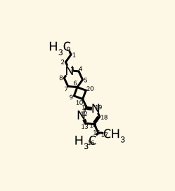 CCCN1CCC2(CC1)CC(c1ncc(C(C)C)cn1)C2